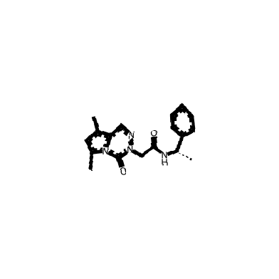 Cc1cc(C)n2c(=O)n(CC(=O)N[C@@H](C)c3ccccc3)ncc12